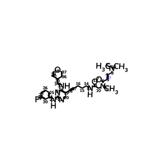 CN(C)C/C=C/C(=O)N(C)CC(=O)NCCCC#Cc1cnc(Nc2cccc(F)c2)nc1NCC1CCOCC1